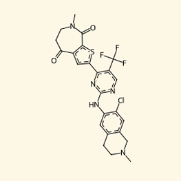 CN1CCc2cc(Nc3ncc(C(F)(F)F)c(-c4cc5c(s4)C(=O)N(C)CCC5=O)n3)c(Cl)cc2C1